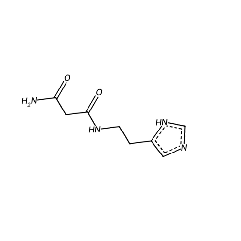 NC(=O)CC(=O)NCCc1cnc[nH]1